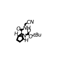 CC(C)(C)OC(=O)N1[C@@H]2CC[C@@H](C2)[C@H]1C(=O)NCC#N